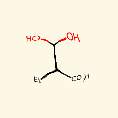 CCC(C(=O)O)C(O)O